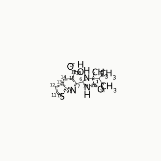 CC(C)C1(C)NC(c2nc3sccc3cc2C(=O)O)NC1=O